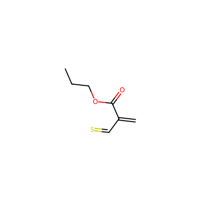 C=C(C=S)C(=O)OCCC